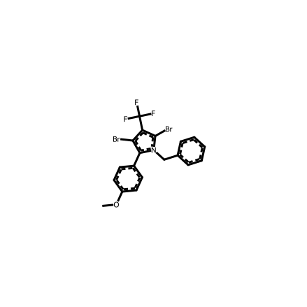 COc1ccc(-c2c(Br)c(C(F)(F)F)c(Br)n2Cc2ccccc2)cc1